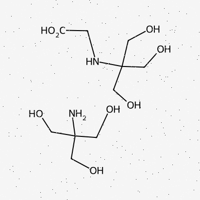 NC(CO)(CO)CO.O=C(O)CNC(CO)(CO)CO